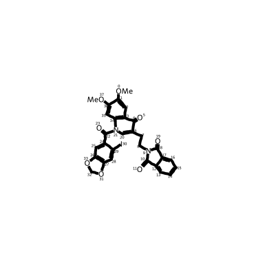 COc1cc2c(=O)c(CCN3C(=O)c4ccccc4C3=O)cn(C(=O)c3cc4c(cc3I)OCO4)c2cc1OC